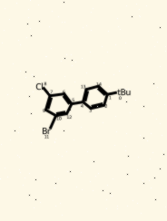 CC(C)(C)c1ccc(-c2cc(Cl)cc(Br)c2)cc1